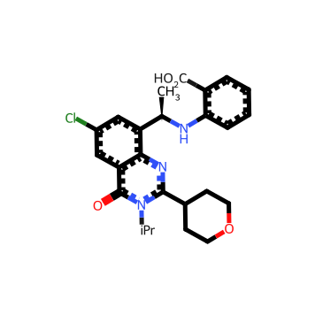 CC(C)n1c(C2CCOCC2)nc2c([C@@H](C)Nc3ccccc3C(=O)O)cc(Cl)cc2c1=O